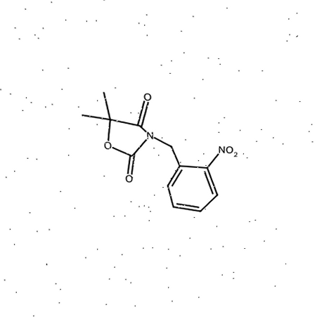 CC1(C)OC(=O)N(Cc2ccccc2[N+](=O)[O-])C1=O